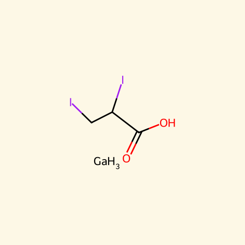 O=C(O)C(I)CI.[GaH3]